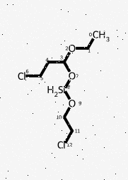 CCOC(CCCl)O[SiH2]OCCCl